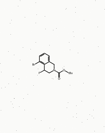 CC(C)(C)OC(=O)N1Cc2cccc(Br)c2C(F)C1